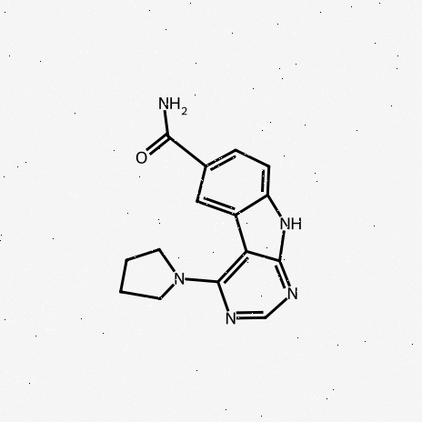 NC(=O)c1ccc2[nH]c3ncnc(N4CCCC4)c3c2c1